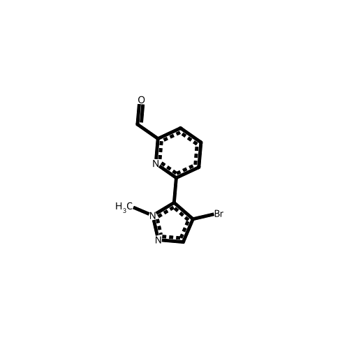 Cn1ncc(Br)c1-c1cccc(C=O)n1